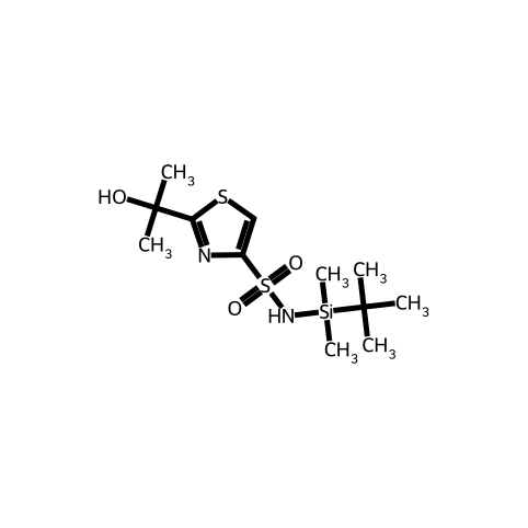 CC(C)(O)c1nc(S(=O)(=O)N[Si](C)(C)C(C)(C)C)cs1